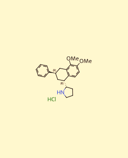 COc1ccc2c(c1OC)C[C@H](c1ccccc1)C[C@H]2C1CCCN1.Cl